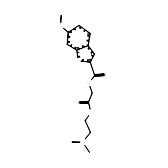 COc1ccc2cc(C(=O)NCC(=O)NCCN(C)C)sc2c1